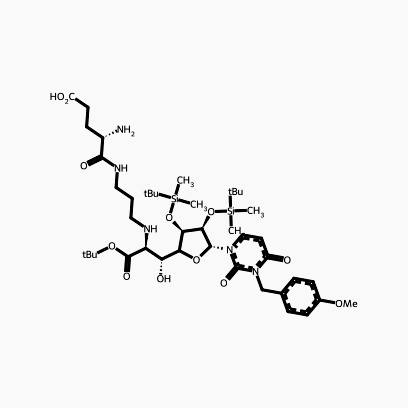 COc1ccc(Cn2c(=O)ccn([C@@H]3OC([C@H](O)[C@H](NCCCNC(=O)[C@@H](N)CCC(=O)O)C(=O)OC(C)(C)C)[C@@H](O[Si](C)(C)C(C)(C)C)[C@H]3O[Si](C)(C)C(C)(C)C)c2=O)cc1